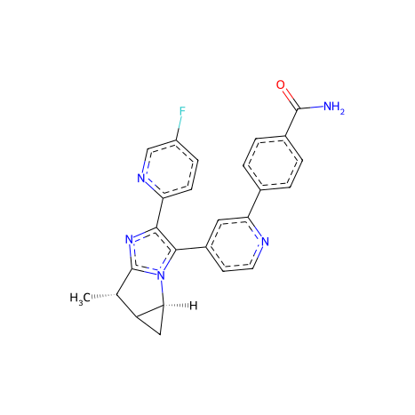 C[C@@H]1c2nc(-c3ccc(F)cn3)c(-c3ccnc(-c4ccc(C(N)=O)cc4)c3)n2[C@H]2CC12